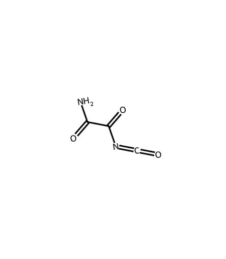 NC(=O)C(=O)N=C=O